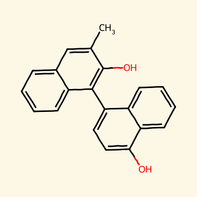 Cc1cc2ccccc2c(-c2ccc(O)c3ccccc23)c1O